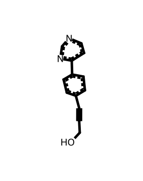 OCC#Cc1ccc(-c2ccncn2)cc1